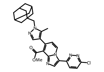 COC(=O)c1c(-c2cnn(CC34CC5CC(CC(C5)C3)C4)c2C)ccn2c(-c3ccc(Cl)nn3)cnc12